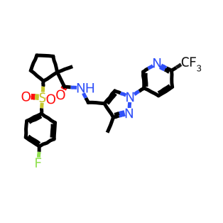 Cc1nn(-c2ccc(C(F)(F)F)nc2)cc1CNC(=O)C1(C)CCCC1S(=O)(=O)c1ccc(F)cc1